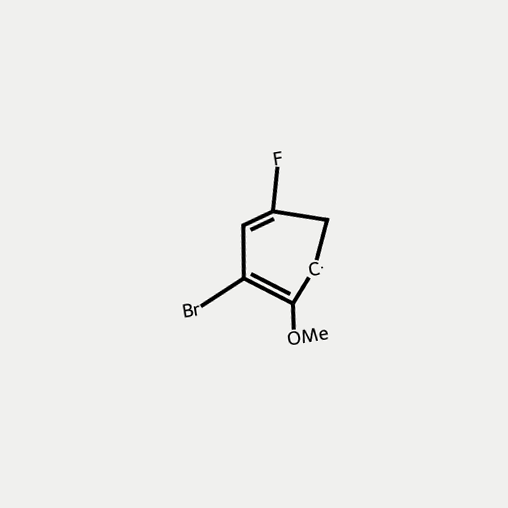 COC1=C(Br)C=C(F)C[CH]1